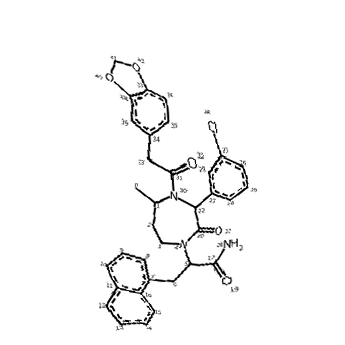 CC1CCN(C(Cc2cccc3ccccc23)C(N)=O)C(=O)C(c2cccc(Cl)c2)N1C(=O)Cc1ccc2c(c1)OCO2